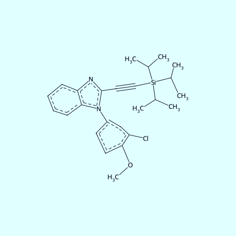 COc1ccc(-n2c(C#C[Si](C(C)C)(C(C)C)C(C)C)nc3ccccc32)cc1Cl